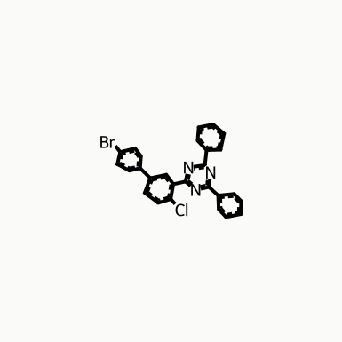 Clc1ccc(-c2ccc(Br)cc2)cc1-c1nc(-c2ccccc2)nc(-c2ccccc2)n1